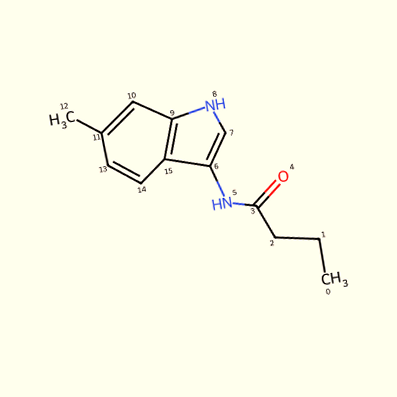 CCCC(=O)Nc1c[nH]c2cc(C)ccc12